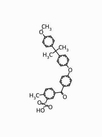 COc1ccc(C(C)(C)c2ccc(Oc3ccc(C(=O)c4ccc(C)c(S(=O)(=O)O)c4)cc3)cc2)cc1